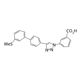 CSc1cccc(-c2ccc(-c3cn(-c4cccc(C(=O)O)c4)nn3)cc2)c1